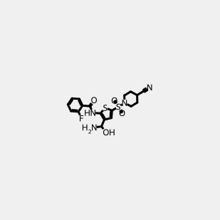 N#CC1CCN(S(=O)(=O)c2cc(C(N)O)c(NC(=O)c3ccccc3F)s2)CC1